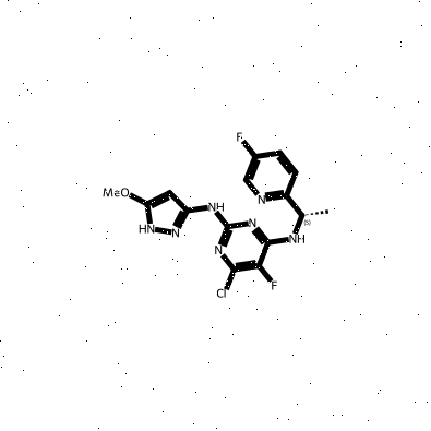 COc1cc(Nc2nc(Cl)c(F)c(N[C@@H](C)c3ccc(F)cn3)n2)n[nH]1